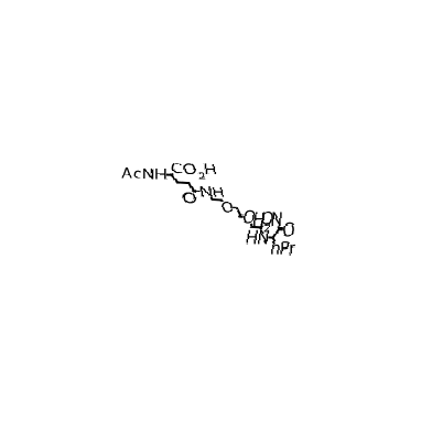 CCCC(NC(=O)COCCOCCNC(=O)CCC(NC(C)=O)C(=O)O)C(N)=O